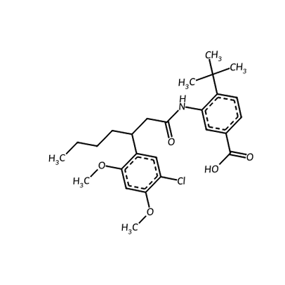 CCCCC(CC(=O)Nc1cc(C(=O)O)ccc1C(C)(C)C)c1cc(Cl)c(OC)cc1OC